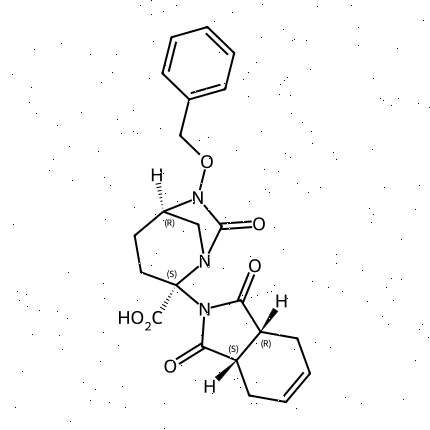 O=C1N(OCc2ccccc2)[C@@H]2CC[C@](C(=O)O)(N3C(=O)[C@H]4CC=CC[C@H]4C3=O)N1C2